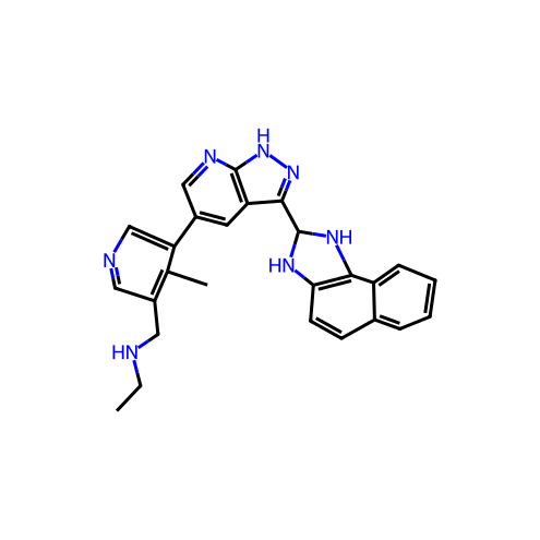 CCNCc1cncc(-c2cnc3[nH]nc(C4Nc5ccc6ccccc6c5N4)c3c2)c1C